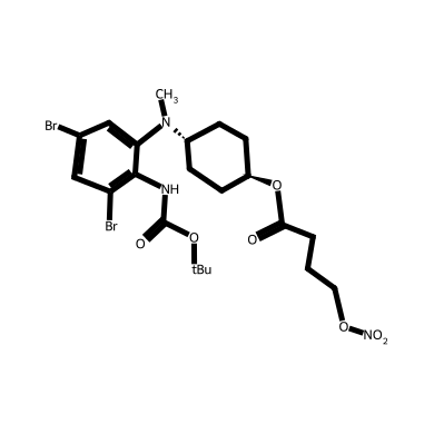 CN(c1cc(Br)cc(Br)c1NC(=O)OC(C)(C)C)[C@H]1CC[C@H](OC(=O)CCCO[N+](=O)[O-])CC1